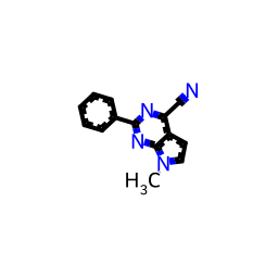 Cn1ccc2c(C#N)nc(-c3ccccc3)nc21